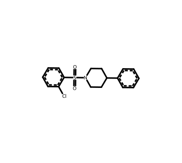 O=S(=O)(c1ccccc1Cl)N1CCC(c2ccccc2)CC1